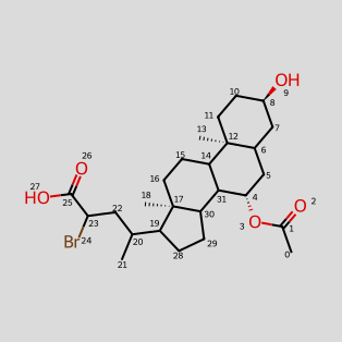 CC(=O)O[C@H]1CC2C[C@H](O)CC[C@]2(C)C2CC[C@]3(C)C(C(C)CC(Br)C(=O)O)CCC3C21